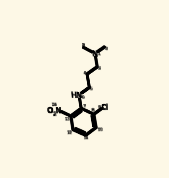 CN(C)CCCNc1c(Cl)cccc1[N+](=O)[O-]